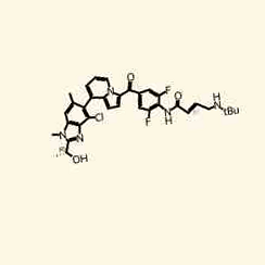 Cc1cc2c(nc([C@@H](C)O)n2C)c(Cl)c1-c1cccn2c(C(=O)c3cc(F)c(NC(=O)/C=C/CNC(C)(C)C)c(F)c3)ccc12